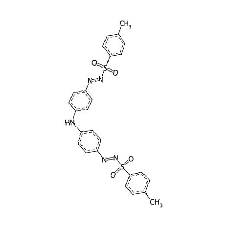 Cc1ccc(S(=O)(=O)N=Nc2ccc(Nc3ccc(N=NS(=O)(=O)c4ccc(C)cc4)cc3)cc2)cc1